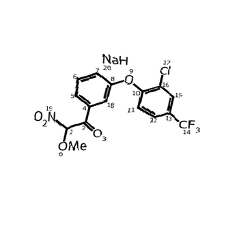 COC(C(=O)c1cccc(Oc2ccc(C(F)(F)F)cc2Cl)c1)[N+](=O)[O-].[NaH]